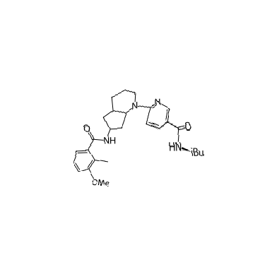 CC[C@H](C)NC(=O)c1ccc(N2CCCC3CC(NC(=O)c4cccc(OC)c4C)CC32)nc1